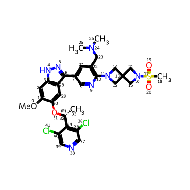 COc1cc2[nH]nc(-c3cnc(N4CC5(C4)CN(S(C)(=O)=O)C5)c(CN(C)C)c3)c2cc1O[C@H](C)c1c(Cl)cncc1Cl